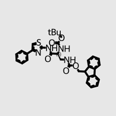 CC(C)(C)OC(=O)N[C@@H](CNC(=O)OCC1c2ccccc2-c2ccccc21)C(=O)Nc1nc(-c2ccccc2)cs1